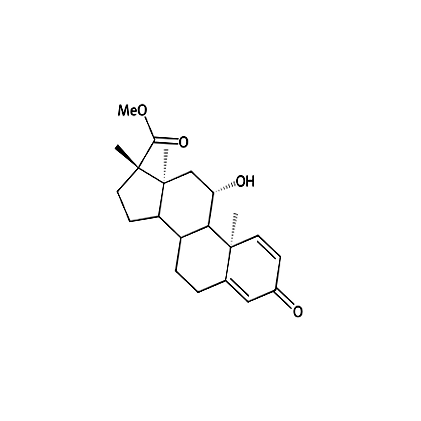 COC(=O)[C@@]1(C)CCC2C3CCC4=CC(=O)C=C[C@]4(C)C3[C@@H](O)C[C@@]21C